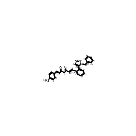 O=C(/C=C/c1ccc(O)cc1)CC(=O)/C=C/c1ccccc1-c1cnnn1Cc1ccccc1